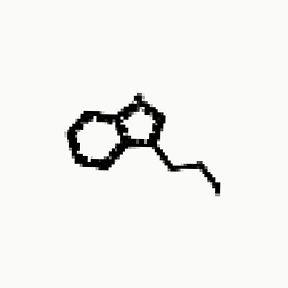 ICCc1csc2ccccc12